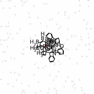 Bc1c(B)c(B)c(C2=CC=CC2(c2c(B)c(B)c(B)c(B)c2B)c2cn(-c3cccc(Oc4ccc5c6ccccc6n(-c6cc(C)c(C)cn6)c5c4)c3)c3ccccc23)c(B)c1B